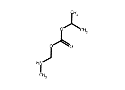 CNCOC(=O)OC(C)C